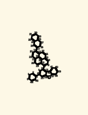 c1ccc(-c2cc(-c3ccc4ccc5c(-c6ccc7ccccc7c6)ccc6ccc3c4c65)c3c(c2)oc2ccccc23)cc1